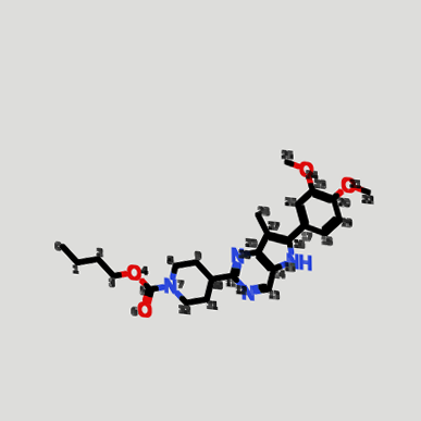 CCCCOC(=O)N1CCC(c2ncc3[nH]c(-c4ccc(OC)c(OC)c4)c(C)c3n2)CC1